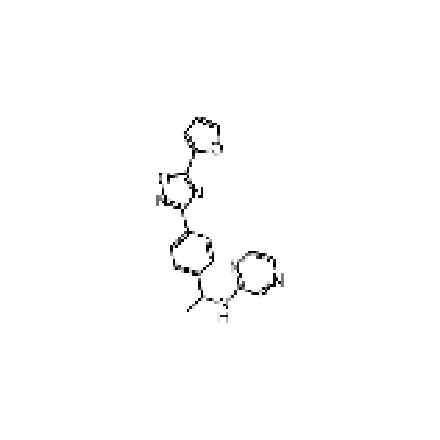 CC(Nc1cnccn1)c1ccc(-c2noc(-c3ccco3)n2)cc1